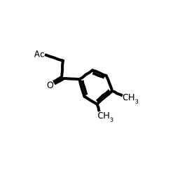 CC(=O)CC(=O)c1ccc(C)c(C)c1